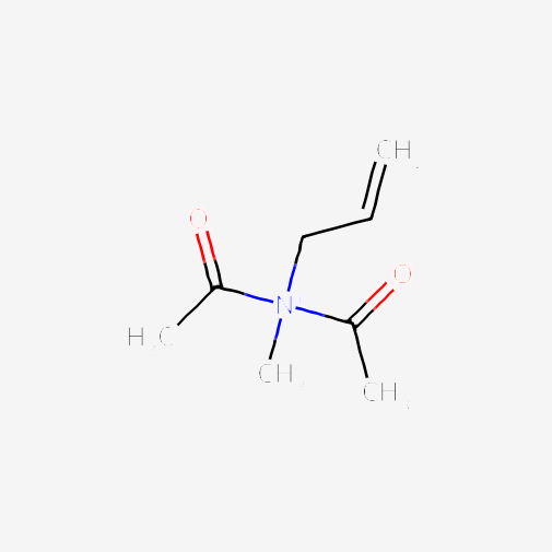 C=CC[N+](C)(C(C)=O)C(C)=O